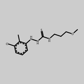 COCCCNC(=S)NNc1cccc(Cl)c1C